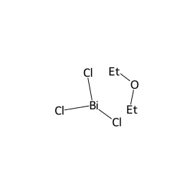 CCOCC.[Cl][Bi]([Cl])[Cl]